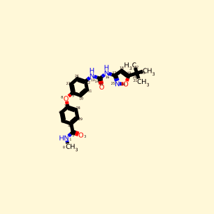 CNC(=O)c1ccc(Oc2ccc(NC(=O)Nc3cc(C(C)(C)C)on3)cc2)cc1